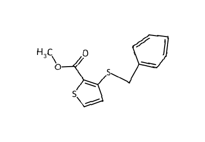 COC(=O)c1sccc1SCc1ccccc1